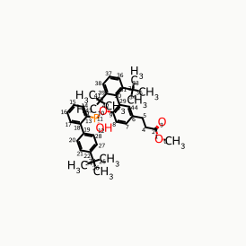 COC(=O)CCc1ccc(OP(O)c2ccccc2-c2ccc(C(C)(C)C)cc2)c(-c2c(C(C)(C)C)cccc2C(C)(C)C)c1